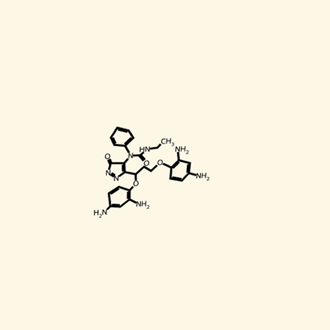 CCNC(=O)N(C1=C(C(CCOc2ccc(N)cc2N)Oc2ccc(N)cc2N)N=NC1=O)c1ccccc1